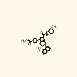 C=CC(=O)N1CCN(c2cc(C(=O)NC[C@H]3CCCN(C)C3)nc3c2CCN(c2cccc4cccc(C)c24)C3)CC1